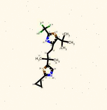 CC(C)(C)c1sc(C(F)(F)F)nc1CCC(C)(C)c1cnc(C2CC2)s1